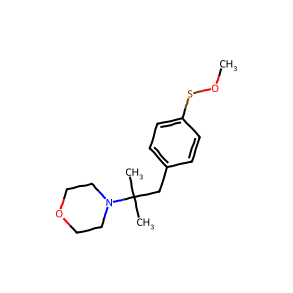 COSc1ccc(CC(C)(C)N2CCOCC2)cc1